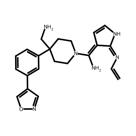 C=C/N=C1/NC=C/C1=C(/N)N1CCC(CN)(c2cccc(-c3cnoc3)c2)CC1